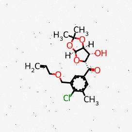 C=CCOCc1cc(C(=O)[C@@H]2O[C@H]3OC(C)(C)O[C@H]3[C@@H]2O)cc(C)c1Cl